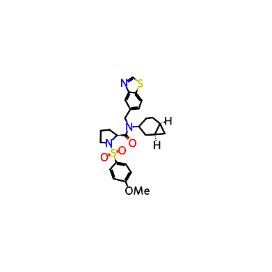 COc1ccc(S(=O)(=O)N2CCC[C@H]2C(=O)N(Cc2ccc3scnc3c2)[C@H]2CC[C@H]3C[C@H]3C2)cc1